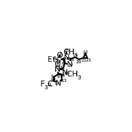 CCS(=O)(=O)c1c(-c2nc3cc(C(F)(F)F)ncc3n2C)nc(CCC2CC2)n1C